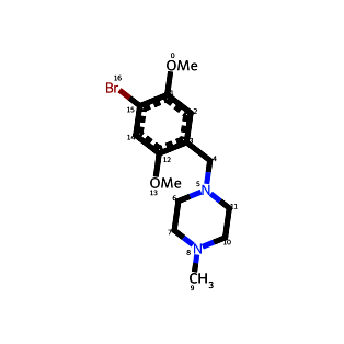 COc1cc(CN2CCN(C)CC2)c(OC)cc1Br